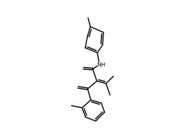 C=C(Nc1ccc(C)cc1)C(C(=C)c1ccccc1C)=C(C)C